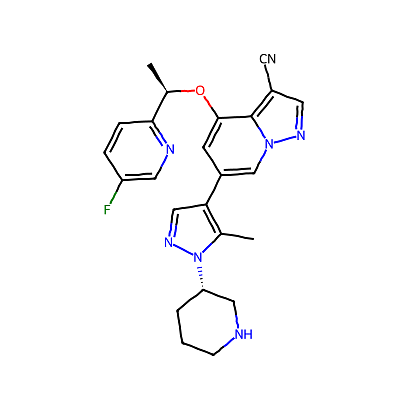 Cc1c(-c2cc(O[C@H](C)c3ccc(F)cn3)c3c(C#N)cnn3c2)cnn1[C@H]1CCCNC1